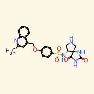 Cc1cc(COc2ccc(S(=O)(=O)N[C@@H]3CNC[C@]34NC(=O)NC4=O)cc2)c2ccccc2n1